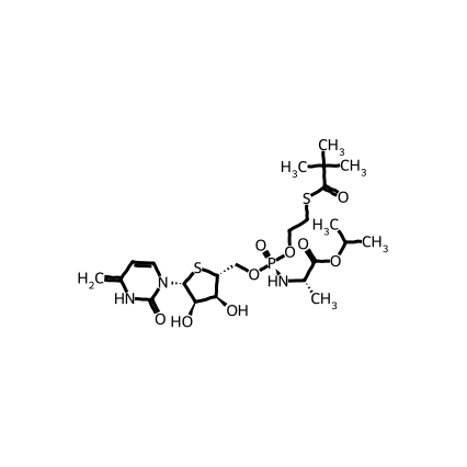 C=C1C=CN([C@@H]2S[C@H](CO[P@@](=O)(N[C@@H](C)C(=O)OC(C)C)OCCSC(=O)C(C)(C)C)[C@@H](O)[C@H]2O)C(=O)N1